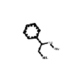 CSNC(CN)c1ccccc1